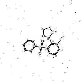 O=S(=O)(c1ccccc1)c1cccc(F)c1C1OCCO1